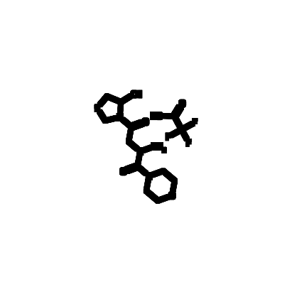 N#CC1CSCN1C(=O)CN(N)C(=O)N1CCOCC1.O=C(O)C(F)(F)F